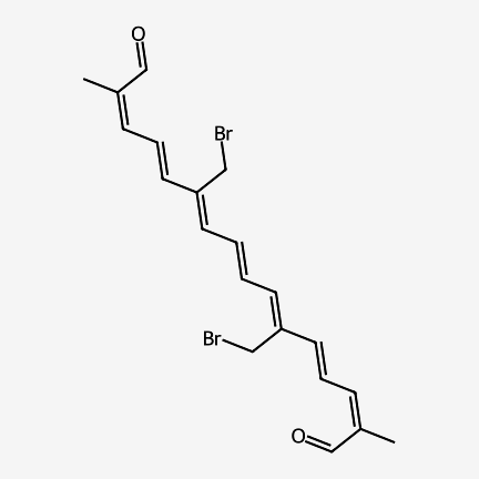 CC(C=O)=CC=CC(=CC=CC=C(C=CC=C(C)C=O)CBr)CBr